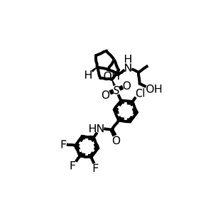 CC(CO)NC[C@@]1(O)C2CC[C@H]1C[C@H](S(=O)(=O)c1cc(C(=O)Nc3cc(F)c(F)c(F)c3)ccc1Cl)C2